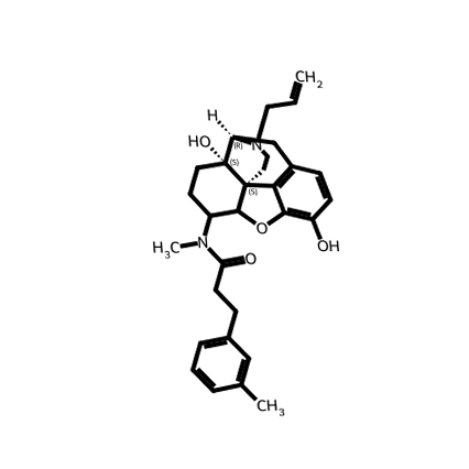 C=CCN1CC[C@]23c4c5ccc(O)c4OC2C(N(C)C(=O)CCc2cccc(C)c2)CC[C@@]3(O)[C@H]1C5